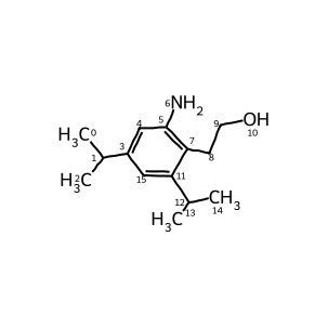 CC(C)c1cc(N)c(CCO)c(C(C)C)c1